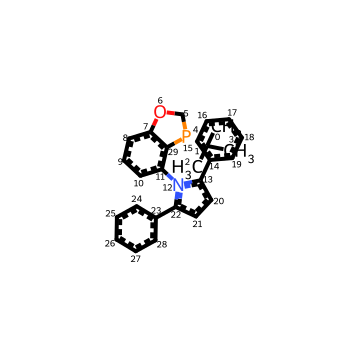 CC(C)(C)[P@]1COc2cccc(-n3c(-c4ccccc4)ccc3-c3ccccc3)c21